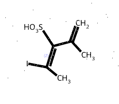 C=C(C)/C(=C(\C)I)S(=O)(=O)O